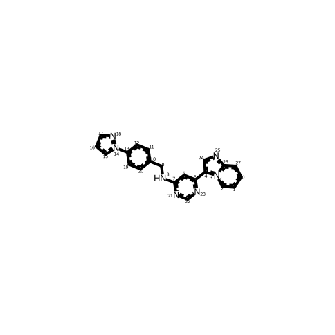 c1ccn2c(-c3cc(NCc4ccc(-n5cccn5)cc4)ncn3)cnc2c1